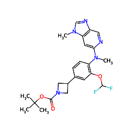 CN(c1cc2c(cn1)ncn2C)c1ccc(C2CN(C(=O)OC(C)(C)C)C2)cc1OC(F)F